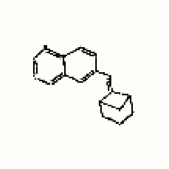 C(=C1C2CCCC1C2)c1ccc2ncncc2c1